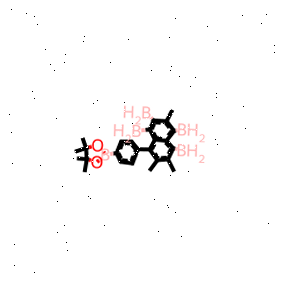 Bc1c(C)c(B)c2c(B)c(C)c(C)c(-c3ccc(B4OC(C)(C)C(C)(C)O4)cc3)c2c1B